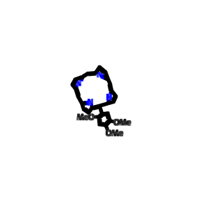 COc1cc(OC)c(C2=C3C=CC(=N3)C=C3C=CC(=N3)C=C3C=CC(=N3)C=C3C=CC2=N3)cc1OC